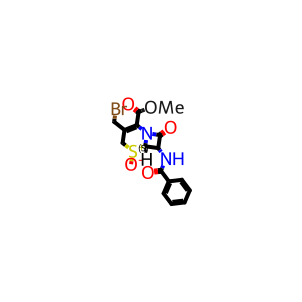 COC(=O)C1=C(CBr)C[S+]([O-])[C@H]2C(NC(=O)c3ccccc3)C(=O)N12